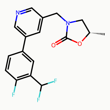 C[C@H]1CN(Cc2cncc(-c3ccc(F)c(C(F)F)c3)c2)C(=O)O1